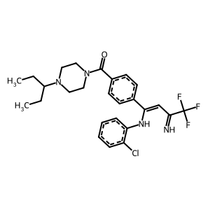 CCC(CC)N1CCN(C(=O)c2ccc(/C(=C/C(=N)C(F)(F)F)Nc3ccccc3Cl)cc2)CC1